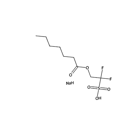 CCCCCCC(=O)OCC(F)(F)S(=O)(=O)O.[NaH]